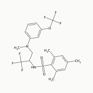 Cc1cc(C)c(S(=O)(=O)NC(CN(C)c2cccc(OC(F)(F)F)c2)C(F)(F)F)c(C)c1